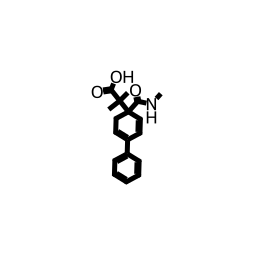 CNC(=O)C1(C(C)(C)C(=O)O)C=CC(c2ccccc2)=CC1